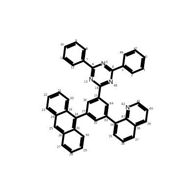 c1ccc(-c2nc(-c3ccccc3)nc(-c3cc(-c4c5ccccc5cc5ccccc45)cc(-c4cccc5cccnc45)c3)n2)cc1